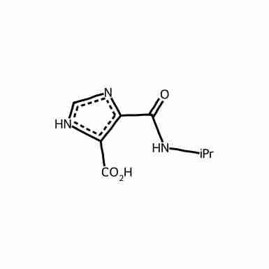 CC(C)NC(=O)c1nc[nH]c1C(=O)O